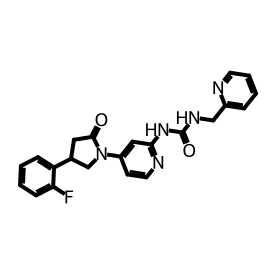 O=C(NCc1ccccn1)Nc1cc(N2CC(c3ccccc3F)CC2=O)ccn1